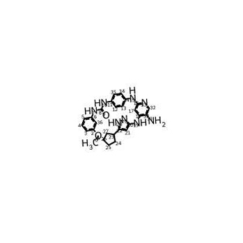 COc1cccc(NC(=O)Nc2ccc(Nc3cc(Nc4cc(C5CCCC5)[nH]n4)c(N)cn3)cc2)c1